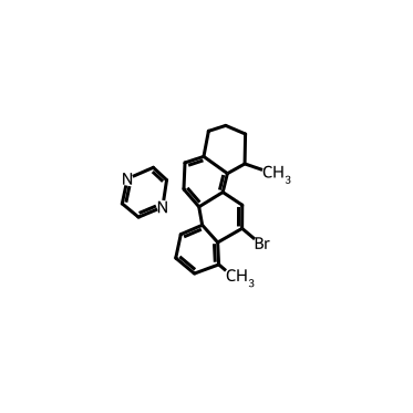 Cc1cccc2c1c(Br)cc1c3c(ccc12)CCCC3C.c1cnccn1